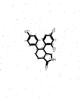 O=C1NCC2C1CCC(c1ccc(Cl)cc1)C2c1ccc(Cl)cc1Cl